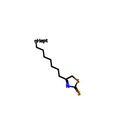 CCCCCCCCCCCCCCC1=NC(=S)SC1